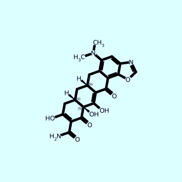 CN(C)c1cc2ncoc2c2c1C[C@H]1C[C@H]3CC(O)=C(C(N)=O)C(=O)[C@@]3(O)C(O)=C1C2=O